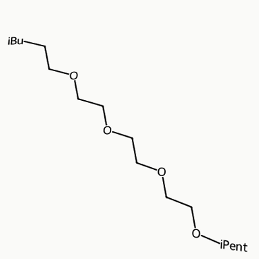 CCCC(C)OCCOCCOCCOCCC(C)CC